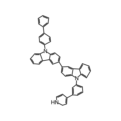 C1=CC(c2cccc(-n3c4ccccc4c4cc(-c5ccc6c(c5)c5ccccc5n6-c5ccc(-c6ccccc6)cc5)ccc43)c2)=CCN1